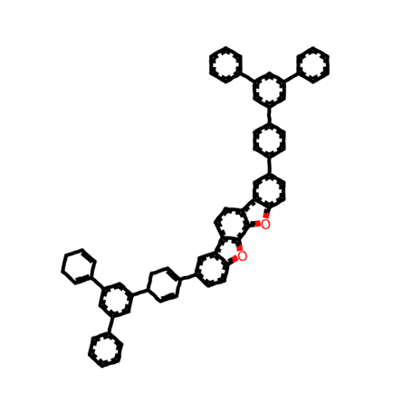 C1=CC(c2cc(-c3ccccc3)cc(C3C=CC(c4ccc5oc6c(ccc7c8cc(-c9ccc(-c%10cc(-c%11ccccc%11)cc(-c%11ccccc%11)c%10)cc9)ccc8oc76)c5c4)=CC3)c2)=CCC1